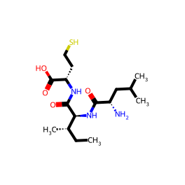 CC[C@H](C)[C@H](NC(=O)[C@@H](N)CC(C)C)C(=O)N[C@@H](CCS)C(=O)O